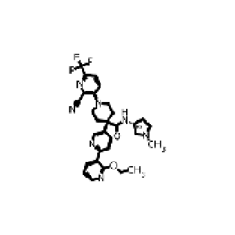 CCOc1ncccc1-c1ccc(C2(C(=O)N[C@@H]3CCN(C)C3)CCN(c3ccc(C(F)(F)F)nc3C#N)CC2)cn1